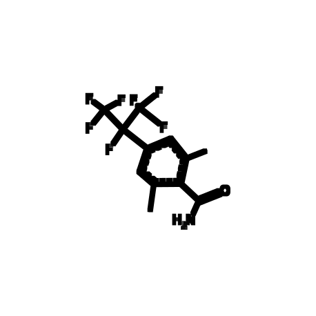 Cc1cc(C(F)(C(F)(F)F)C(F)(F)F)cc(C)c1C(N)=O